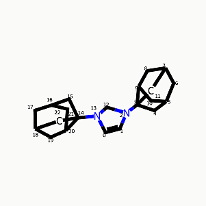 C1=CN(C23CC4CC(CC2C4)C3)CN1C12CC3CC(CC1C3)C2